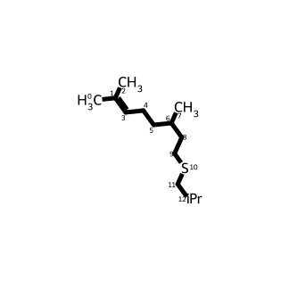 CC(C)=CCCC(C)CCSCC(C)C